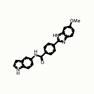 COc1ccc2nc(-c3ccc(C(=O)Nc4ccc5[nH]ccc5c4)cc3)[nH]c2c1